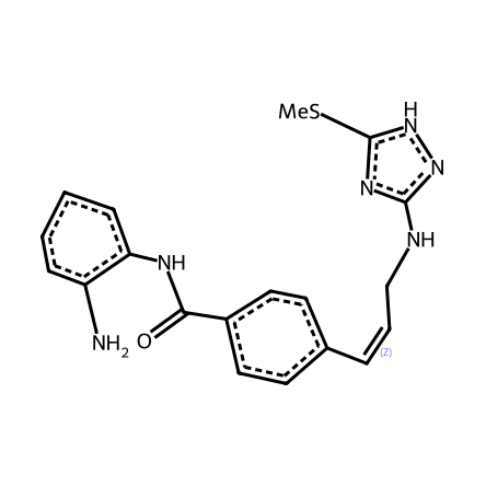 CSc1nc(NC/C=C\c2ccc(C(=O)Nc3ccccc3N)cc2)n[nH]1